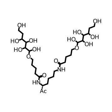 CC(=O)[C@H](CCCCNC(=O)CCCCOC(O)C(O)C(O)C(O)CCO)NC(=O)CCCCOC(O)C(O)C(O)C(O)CCO